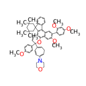 COc1ccc(C2(C3=CCC=C(N4CCOCC4)C=C3)C=Cc3c4c(c5cc(-c6ccc(OC)cc6OC)c(OC)cc5c3O2)-c2ccccc2C42CC(C)(C)CC(C)(C)C2)cc1